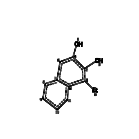 [CH2]Cc1c(O)c(O)cc2ccccc12